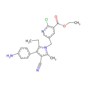 CCOC(=O)c1cc(Cn2c(C)c(C#N)c(-c3ccc(N)cc3)c2CC)cnc1Cl